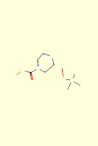 CC(C)(C)OC(=O)N1CCN[C@H](CO[Si](C)(C)C(C)(C)C)C1